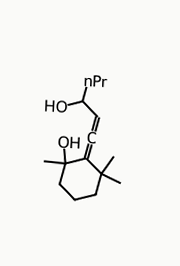 CCCC(O)C=C=C1C(C)(C)CCCC1(C)O